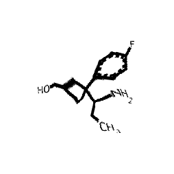 CCC(N)C1(c2ccc(F)cc2)CC(O)C1